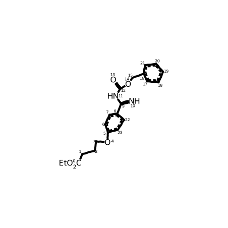 CCOC(=O)CCCOc1ccc(C(=N)NC(=O)OCc2ccccc2)cc1